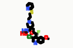 COc1ccc2ncc(Cl)c([C@H](F)CCC3(C(=O)NO)CCN(CCCSc4ccccn4)CC3)c2c1